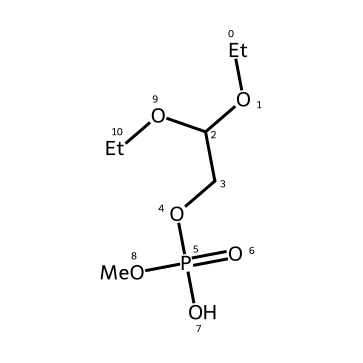 CCOC(COP(=O)(O)OC)OCC